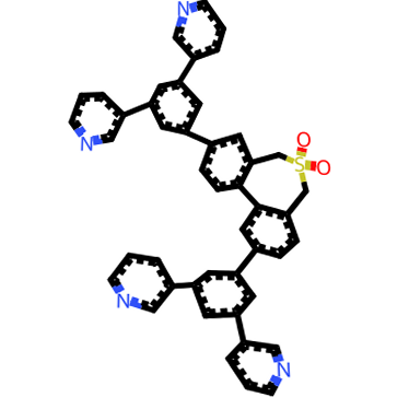 O=S1(=O)Cc2cc(-c3cc(-c4cccnc4)cc(-c4cccnc4)c3)ccc2-c2cc(-c3cc(-c4cccnc4)cc(-c4cccnc4)c3)ccc2C1